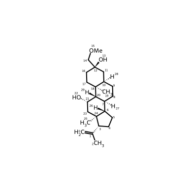 C=C(C)[C@H]1CC[C@H]2[C@@H]3CC[C@@H]4C[C@@](O)(COC)CC[C@]4(C)[C@H]3[C@@H](O)C[C@]12C